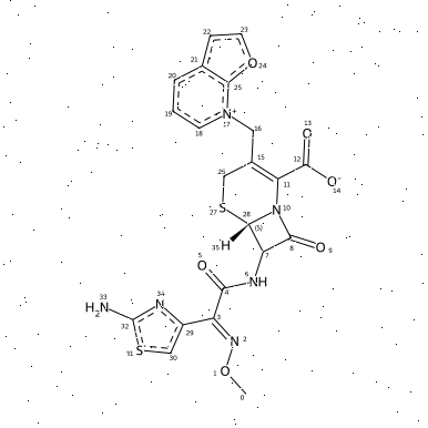 CON=C(C(=O)NC1C(=O)N2C(C(=O)[O-])=C(C[n+]3cccc4ccoc43)CS[C@@H]12)c1csc(N)n1